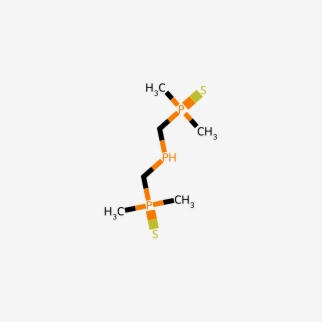 CP(C)(=S)CPCP(C)(C)=S